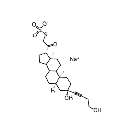 C[C@]12CCC3C(CC[C@@H]4C[C@@](O)(C#CCCO)CC[C@]34C)C1CC[C@@H]2C(=O)CSS(=O)(=O)[O-].[Na+]